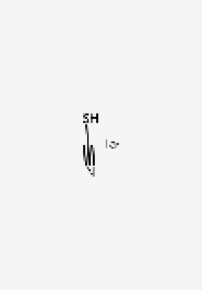 N#CS.[Ta]